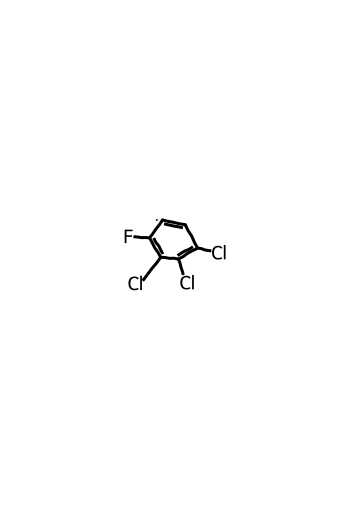 Fc1[c]cc(Cl)c(Cl)c1Cl